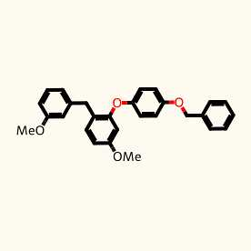 COc1cccc(Cc2ccc(OC)cc2Oc2ccc(OCc3ccccc3)cc2)c1